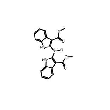 COC(=O)c1c(P(Cl)c2[nH]c3ccccc3c2C(=O)OC)[nH]c2ccccc12